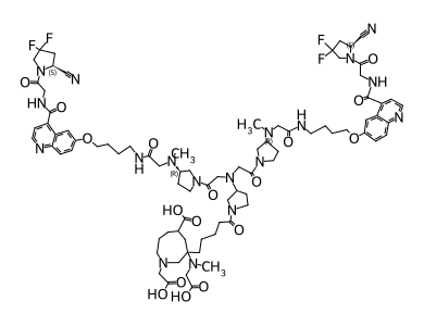 CN(CC(=O)NCCCCOc1ccc2nccc(C(=O)NCC(=O)N3CC(F)(F)C[C@H]3C#N)c2c1)[C@@H]1CCN(C(=O)CN(CC(=O)N2CC[C@@H](N(C)CC(=O)NCCCCOc3ccc4nccc(C(=O)NCC(=O)N5CC(F)(F)C[C@H]5C#N)c4c3)C2)C2CCN(C(=O)CCCCC3(N(C)CC(=O)O)CC(C(=O)O)CCCN(CC(=O)O)C3)C2)C1